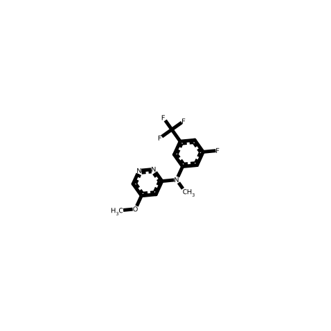 COc1cnnc(N(C)c2cc(F)cc(C(F)(F)F)c2)c1